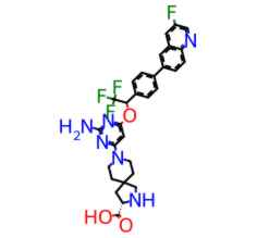 Nc1nc(O[C@H](c2ccc(-c3ccc4ncc(F)cc4c3)cc2)C(F)(F)F)cc(N2CCC3(CC2)CN[C@H](C(=O)O)C3)n1